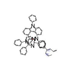 C=C/C=C(\C=C/C)c1ccc(N(c2ccc(-c3ccccc3)cc2)c2cccc3c2c2c(-c4nc(-c5ccccc5)nc(-c5ccccc5)n4)cccc2n3-c2ccccc2)cc1